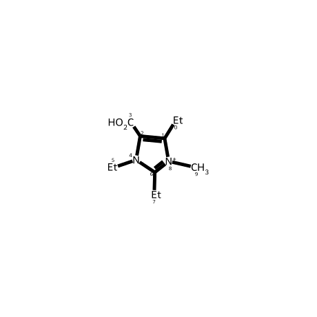 CCc1c(C(=O)O)n(CC)c(CC)[n+]1C